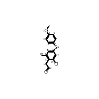 COc1ccc(Sc2cc(C)c(CC=O)c(Cl)c2)cc1